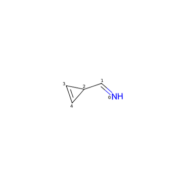 N=CC1C=C1